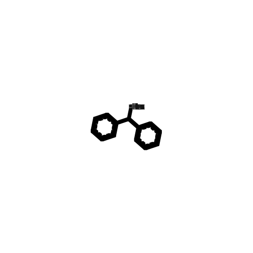 CCCCCC[C](c1ccccc1)c1ccccc1